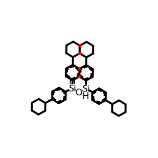 c1cc([SiH](O[SiH](c2ccc(C3CCCCC3)cc2)c2ccc(C3CCCCC3)cc2)c2ccc(C3CCCCC3)cc2)ccc1C1CCCCC1